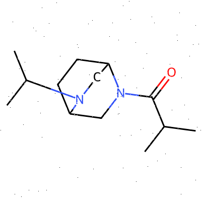 CC(C)C(=O)N1CC2CCC1CN2C(C)C